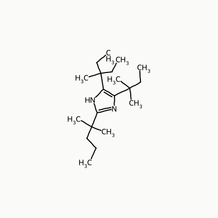 CCCC(C)(C)c1nc(C(C)(C)CC)c(C(C)(CC)CC)[nH]1